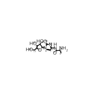 CC(N)C(=O)Nc1ccn(C2OC(CO)C(O)C2O)c(=O)n1